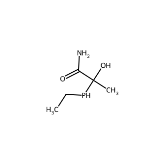 CCPC(C)(O)C(N)=O